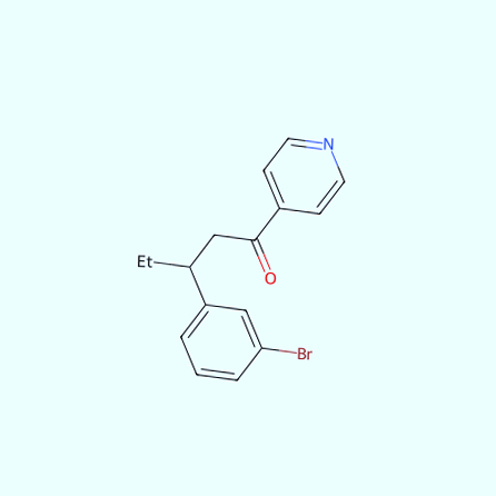 CCC(CC(=O)c1ccncc1)c1cccc(Br)c1